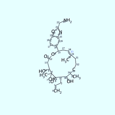 C=CCC1C(=O)C(C)(C)C(O)CC(=O)OC(c2ccc3oc(CN)nc3c2)C/C=C(\C)CCCC(C)C1O